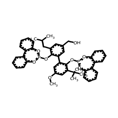 COc1cc(-c2cc(CO)cc(CC(C)C)c2Op2oc3ccccc3c3ccccc3o2)c(Op2oc3ccccc3c3ccccc3o2)c(C(C)(C)C)c1